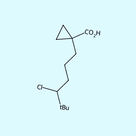 CC(C)(C)C(Cl)CCCC1(C(=O)O)CC1